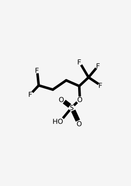 O=S(=O)(O)OC(CCC(F)F)C(F)(F)F